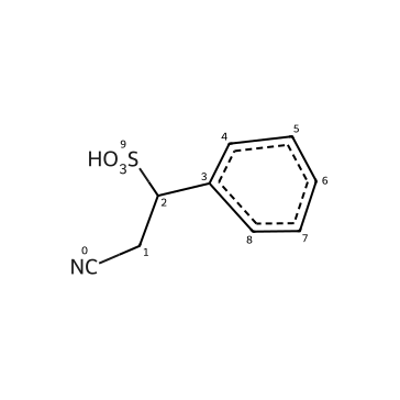 N#CCC(c1ccccc1)S(=O)(=O)O